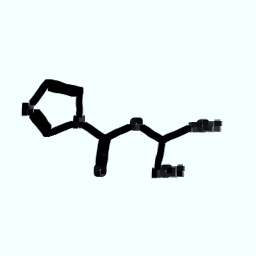 CCCCCCCCC(CCCCCCCC)OC(=O)n1ccnc1